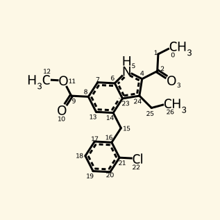 CCC(=O)c1[nH]c2cc(C(=O)OC)cc(Cc3ccccc3Cl)c2c1CC